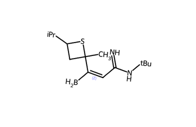 B/C(=C/C(=N)NC(C)(C)C)C1(C)CC(C(C)C)S1